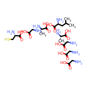 CC(C)C[C@H](N)C(=O)O.C[C@H](N)C(=O)O.C[C@H](N)C(=O)O.NCC(=O)O.NCC(=O)O.NCC(=O)O.NCC(=O)O.N[C@@H](CS)C(=O)O